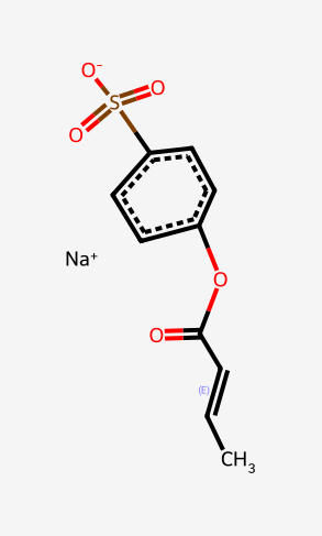 C/C=C/C(=O)Oc1ccc(S(=O)(=O)[O-])cc1.[Na+]